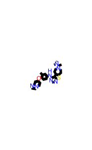 Cc1cc(Nc2ncnc3sc4c(c23)CCN(C(C)N(C)C)CC4)ccc1Oc1ccn2ccnc2c1